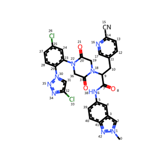 Cn1cc2cc(NC(=O)C(Cc3ccc(C#N)nc3)N3CC(=O)N(c4cc(Cl)ccc4-n4cc(Cl)nn4)CC3=O)ccc2n1